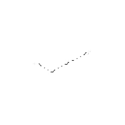 CCC[S+]([O-])CCSCSCSCCSC(=O)CCSCSCSCCC(=O)OCSCSCCO